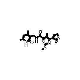 CSc1nc(C(=O)NCc2c(C)cc(C)[nH]c2=O)c(C)c(-c2ccnn2C)n1